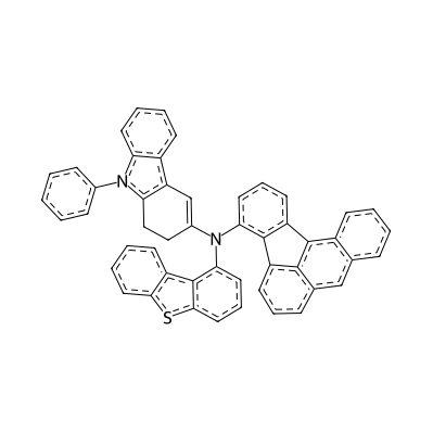 C1=C(N(c2cccc3c2-c2cccc4cc5ccccc5c-3c24)c2cccc3sc4ccccc4c23)CCc2c1c1ccccc1n2-c1ccccc1